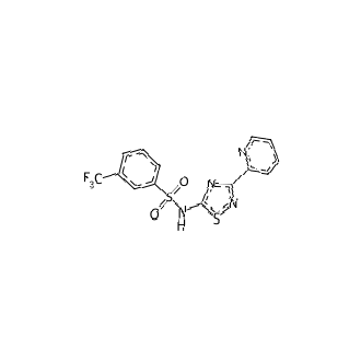 O=S(=O)(Nc1nc(-c2ccccn2)ns1)c1cccc(C(F)(F)F)c1